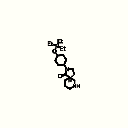 CC[Si](CC)(CC)OC1CCC(N2CC[C@]3(CCCNC3)C2=O)CC1